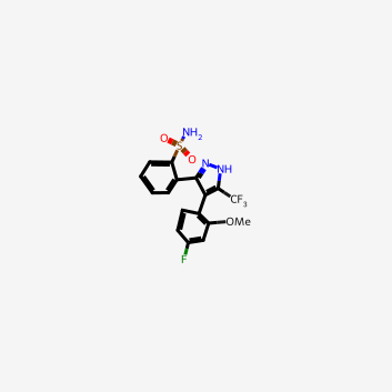 COc1cc(F)ccc1-c1c(-c2ccccc2S(N)(=O)=O)n[nH]c1C(F)(F)F